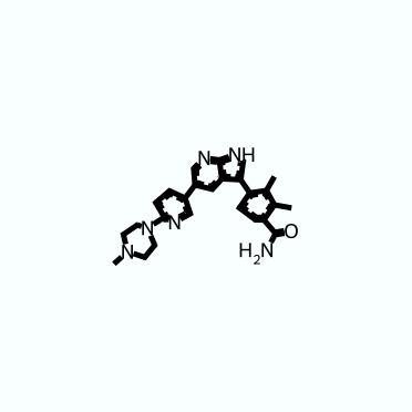 Cc1c(C(N)=O)ccc(-c2c[nH]c3ncc(-c4ccc(N5CCN(C)CC5)nc4)cc23)c1C